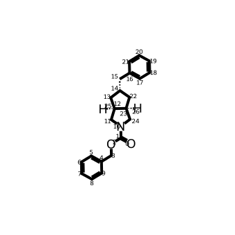 O=C(OCc1ccccc1)N1C[C@H]2C[C@H](Cc3ccccc3)C[C@H]2C1